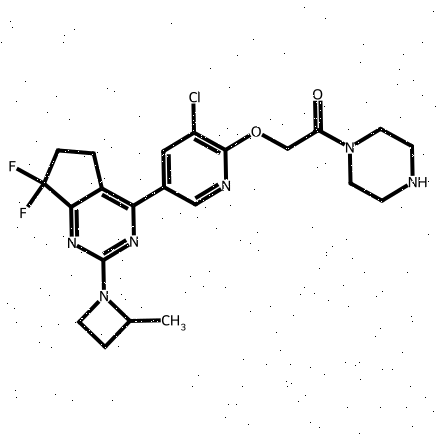 CC1CCN1c1nc(-c2cnc(OCC(=O)N3CCNCC3)c(Cl)c2)c2c(n1)C(F)(F)CC2